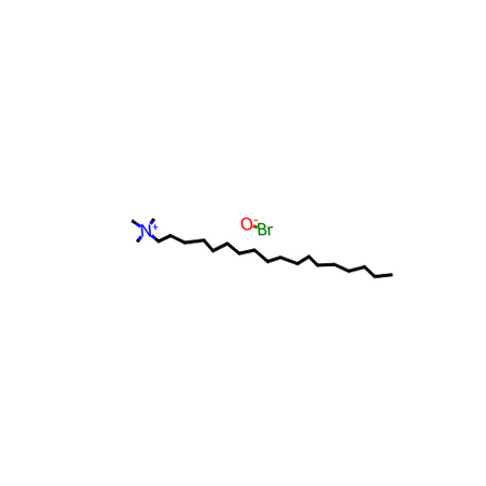 CCCCCCCCCCCCCCCCCC[N+](C)(C)C.[O-]Br